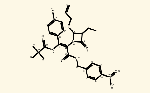 C=CCSC1C(CC)C(=O)N1C(C(=O)OCc1ccc([N+](=O)[O-])cc1)=C(SC(=O)C(C)(C)C)c1ccc(Cl)cc1